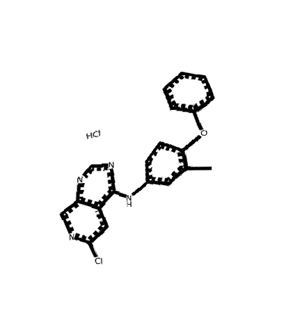 Cc1cc(Nc2ncnc3cnc(Cl)cc23)ccc1Oc1ccccc1.Cl